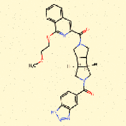 COCCOc1nc(C(=O)N2CC3C(C2)[C@@H]2CN(C(=O)c4ccc5[nH]nnc5c4)C[C@H]32)cc2ccccc12